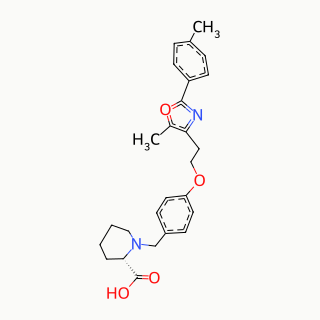 Cc1ccc(-c2nc(CCOc3ccc(CN4CCCC[C@H]4C(=O)O)cc3)c(C)o2)cc1